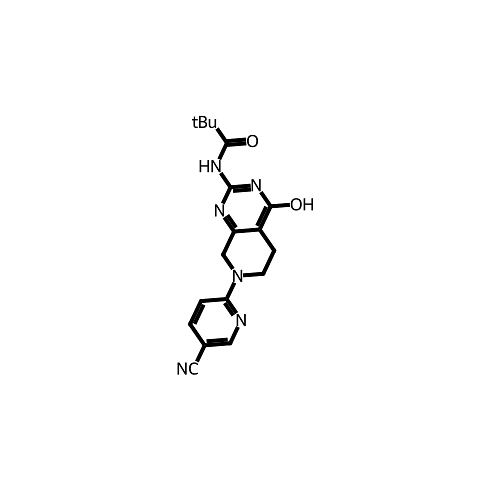 CC(C)(C)C(=O)Nc1nc(O)c2c(n1)CN(c1ccc(C#N)cn1)CC2